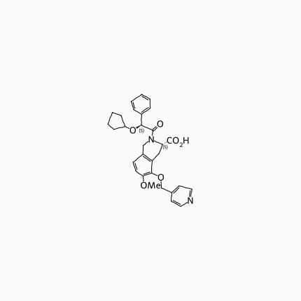 COc1ccc2c(c1OCc1ccncc1)C[C@@H](C(=O)O)N(C(=O)[C@@H](OC1CCCC1)c1ccccc1)C2